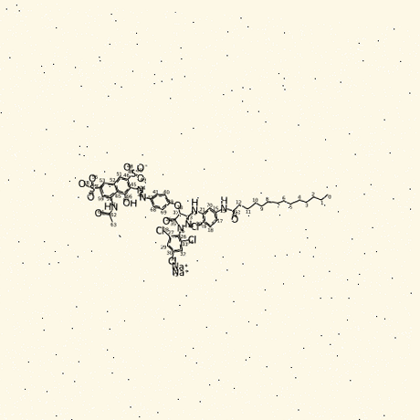 CCCCCCCCCCCCCC(=O)Nc1ccc(Cl)c(NC2=NN(c3c(Cl)cc(Cl)cc3Cl)C(=O)C2Oc2ccc(N=Nc3c(S(=O)(=O)[O-])cc4cc(S(=O)(=O)[O-])cc(NC(C)=O)c4c3O)cc2)c1.[Na+].[Na+]